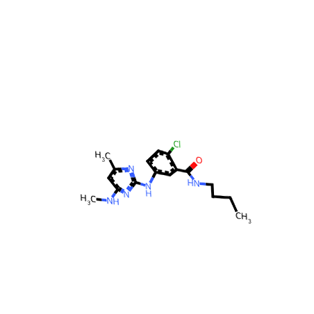 CCCCNC(=O)c1cc(Nc2nc(C)cc(NC)n2)ccc1Cl